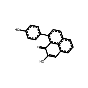 O=C1C(O)=Cc2cccc3ccc(-c4ccc(O)cc4)c1c23